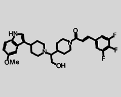 COc1ccc2[nH]cc(C3CCN(C(CO)C4CCN(C(=O)C=Cc5cc(F)c(F)c(F)c5)CC4)CC3)c2c1